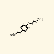 CCCCCCCCCCCCc1ccc(OCCOS(=O)(=O)O)cc1